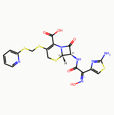 Nc1nc(/C(=N/O)C(=O)N[C@@H]2C(=O)N3C(C(=O)O)=C(SCSc4ccccn4)CS[C@@H]23)cs1